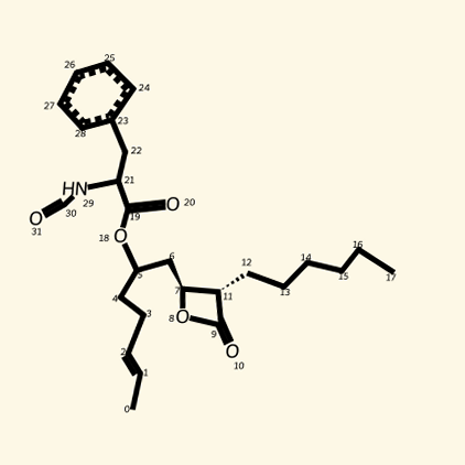 CC=CCCC(C[C@@H]1OC(=O)[C@H]1CCCCCC)OC(=O)C(Cc1ccccc1)NC=O